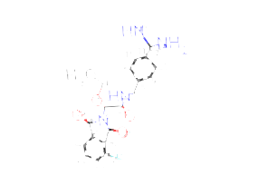 CCOC(C(=O)NCc1ccc(C(=N)N)cc1)N1C(=O)c2cccc(F)c2C1=O